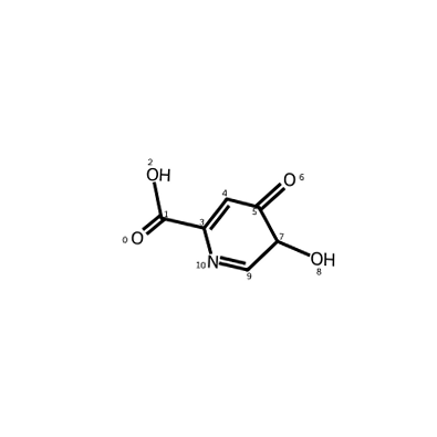 O=C(O)C1=CC(=O)C(O)C=N1